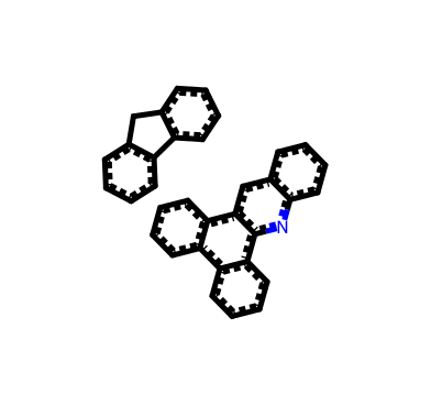 c1ccc2c(c1)Cc1ccccc1-2.c1ccc2nc3c4ccccc4c4ccccc4c3cc2c1